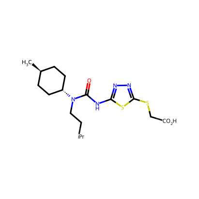 CC(C)CCN(C(=O)Nc1nnc(SCC(=O)O)s1)[C@H]1CC[C@H](C)CC1